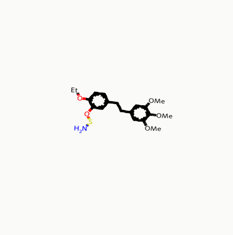 CCOc1ccc(CCc2cc(OC)c(OC)c(OC)c2)cc1OSN